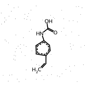 C=Cc1ccc(NC(=O)O)cc1